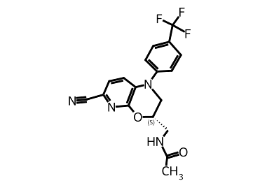 CC(=O)NC[C@H]1CN(c2ccc(C(F)(F)F)cc2)c2ccc(C#N)nc2O1